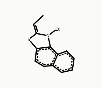 C/C=C1/Sc2ccc3ccccc3c2N1CC